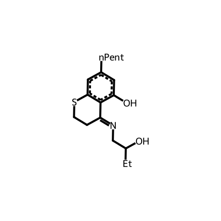 CCCCCc1cc(O)c2c(c1)SCCC2=NCC(O)CC